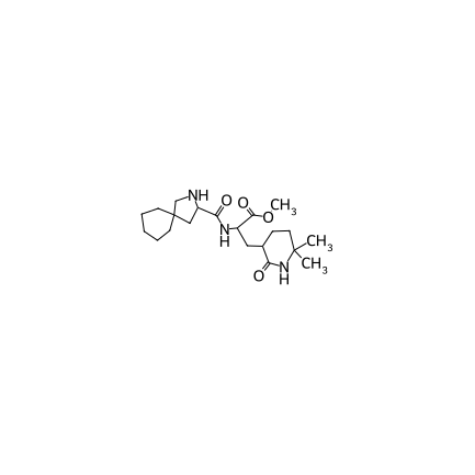 COC(=O)C(CC1CCC(C)(C)NC1=O)NC(=O)C1CC2(CCCCC2)CN1